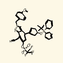 COc1ccc(Cn2cc3c(C4=CCC(O[Si](c5ccccc5)(c5ccccc5)C(C)(C)C)C4)cc(OS(=O)(=O)C(F)(F)F)c(C#N)c3n2)cc1